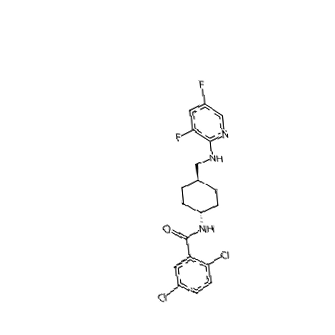 O=C(N[C@H]1CC[C@H](CNc2ncc(F)cc2F)CC1)c1cc(Cl)ccc1Cl